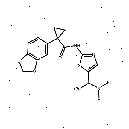 CCN(CC)C(c1cnc(NC(=O)C2(c3ccc4c(c3)OCO4)CC2)s1)C(C)(C)C